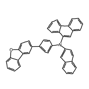 c1ccc2cc(N(c3ccc(-c4ccc5oc6ccccc6c5c4)cc3)c3cc4ccccc4c4ccccc34)ccc2c1